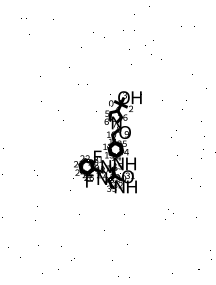 CC(C)(O)C1CCN(C(=O)Cc2ccc(Nc3nc(-c4c(F)cccc4F)nc4c3C(=O)NC4)cc2)C1